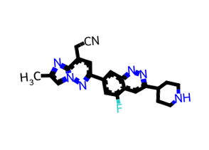 Cc1cn2nc(-c3cc(F)c4cc(C5CCNCC5)nnc4c3)cc(CC#N)c2n1